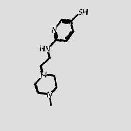 CN1CCN(CCNc2ccc(S)cn2)CC1